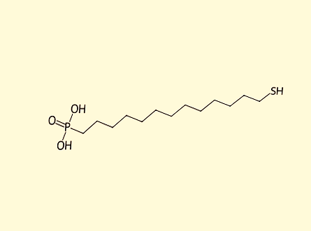 O=P(O)(O)CCCCCCCCCCCCCS